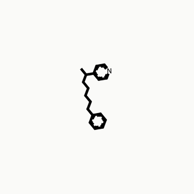 CC(CCCCCc1ccccc1)c1ccncc1